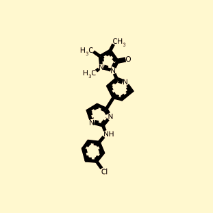 Cc1c(C)n(C)n(-c2cc(-c3ccnc(Nc4cccc(Cl)c4)n3)ccn2)c1=O